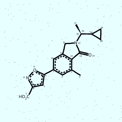 Cc1cc(-c2cc(C(=O)O)no2)cc2c1C(=O)N([C@@H](C)C1CC1)C2